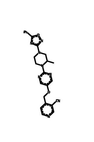 CC(C)c1nc(N2CCN(c3ncc(OCc4ccncc4C#N)cn3)C(C)C2)no1